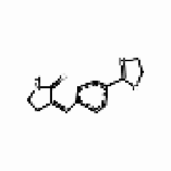 O=C1NCCC1=Cc1ccc(C2=NCCO2)cc1